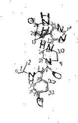 CC(C)NC[C@@H](C(=O)N1CCN(c2ncnc3c2[C@H]2C[C@H]2C(=O)N3)CC1)c1ccc(Cl)cc1